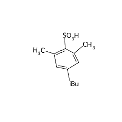 CCC(C)c1cc(C)c(S(=O)(=O)O)c(C)c1